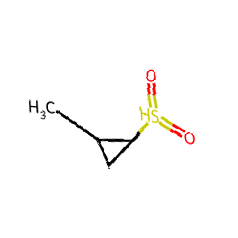 CC1[CH]C1[SH](=O)=O